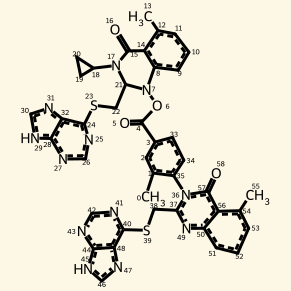 Cc1cc(C(=O)ON2c3cccc(C)c3C(=O)N(C3CC3)C2CSc2ncnc3[nH]cnc23)ccc1-n1c(CSc2ncnc3[nH]cnc23)nc2cccc(C)c2c1=O